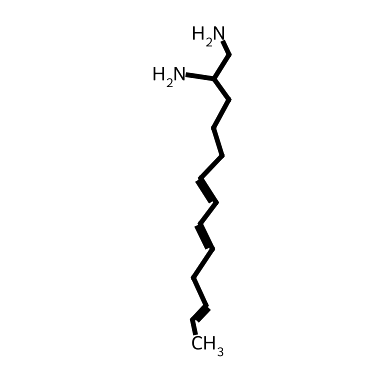 C/C=C/C/C=C/C=C/CCCC(N)CN